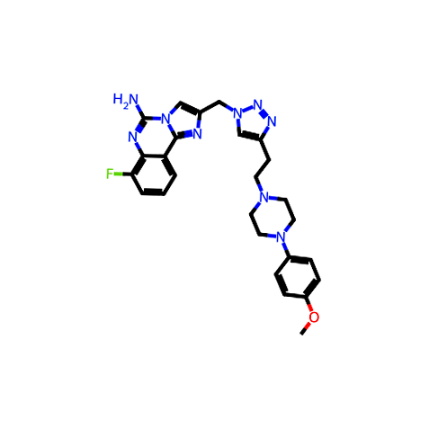 COc1ccc(N2CCN(CCc3cn(Cc4cn5c(N)nc6c(F)cccc6c5n4)nn3)CC2)cc1